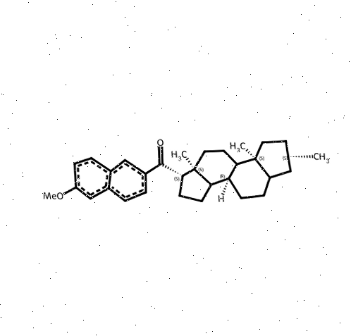 COc1ccc2cc(C(=O)[C@H]3CCC4[C@@H]5CCC6C[C@@H](C)CC[C@]6(C)C5CC[C@@]43C)ccc2c1